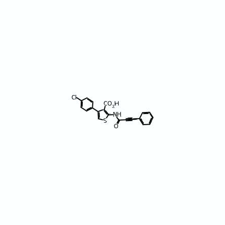 O=C(C#Cc1ccccc1)Nc1scc(-c2ccc(Cl)cc2)c1C(=O)O